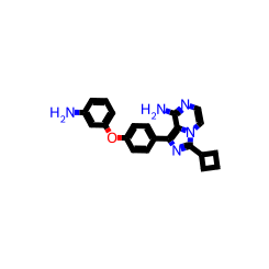 Nc1cccc(Oc2ccc(-c3nc(C4CCC4)n4ccnc(N)c34)cc2)c1